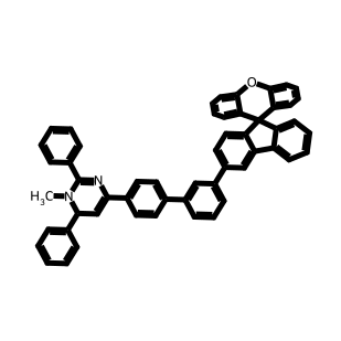 CN1C(c2ccccc2)=NC(c2ccc(-c3cccc(-c4ccc5c(c4)-c4ccccc4C54c5ccccc5Oc5ccccc54)c3)cc2)=CC1c1ccccc1